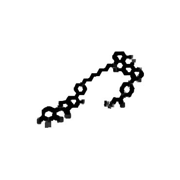 C=CC(=O)N1CCN(c2ncnc3c(F)c(-c4c(F)cccc4OCCCCCCCN4CCC(c5cc6c(cc5F)C(=O)N(C5CCC(=O)NC5=O)C6)CC4)c(Cl)cc23)CC1